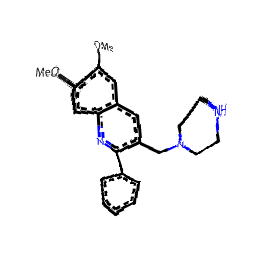 COc1cc2cc(CN3CCNCC3)c(-c3ccccc3)nc2cc1OC